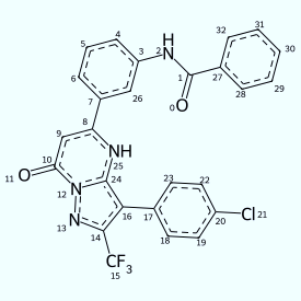 O=C(Nc1cccc(-c2cc(=O)n3nc(C(F)(F)F)c(-c4ccc(Cl)cc4)c3[nH]2)c1)c1ccccc1